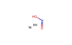 O=NO.[KH].[Ni]